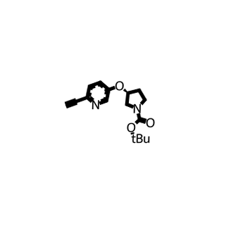 C#Cc1ccc(O[C@H]2CCN(C(=O)OC(C)(C)C)C2)cn1